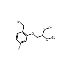 CCOC(COc1cc(F)ccc1CBr)OCC